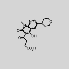 Cn1c(=O)c(C(=O)CCC(=O)O)c(O)c2cc(C3CCOCC3)cnc21